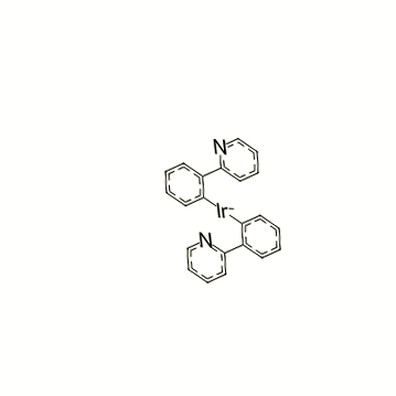 c1ccc(-c2cccc[c]2[Ir-][c]2ccccc2-c2ccccn2)nc1